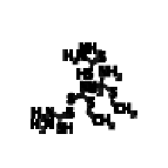 C=CSC(N)=S.C=CSC(N)=S.N.N.NC(=S)S.NC(=S)S